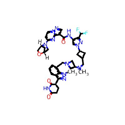 CN(CC1CC(n2cc(NC(=O)c3cnn4ccc(N5C[C@H]6C[C@@H]5CO6)nc34)c(C(F)F)n2)C1)C1CN(Cc2cccc3c(C4CCC(=O)NC4=O)nn(C)c23)C1